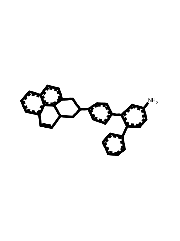 Nc1ccc(-c2ccccc2)c(-c2ccc(C3Cc4ccc5cccc6c5c4C(C=C6)C3)cc2)c1